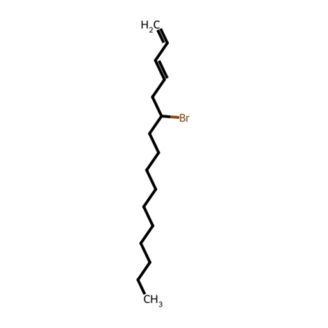 C=CC=CCC(Br)CCCCCCCCCC